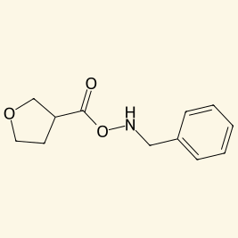 O=C(ONCc1ccccc1)C1CCOC1